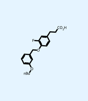 CCCCOc1cccc(COc2ccc(CCC(=O)O)cc2F)c1